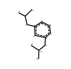 CC(C)Cc1c[c]cc(CC(C)C)c1